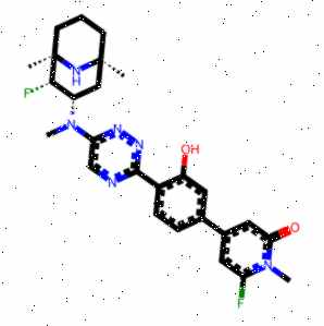 CN(c1cnc(-c2ccc(-c3cc(F)n(C)c(=O)c3)cc2O)nn1)[C@H]1C[C@]2(C)CCC[C@@](C)(N2)[C@H]1F